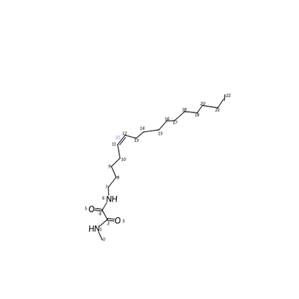 CNC(=O)C(=O)NCCCC/C=C\CCCCCCCCCI